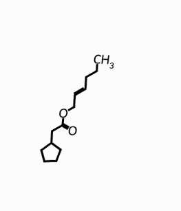 CCCC=CCOC(=O)CC1CCCC1